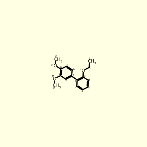 CCOc1[c]cccc1-c1ccc(OC)c(OC)c1